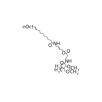 CCCCCCCCC=CCCCCCCCC(=O)NCC=CCOC(=O)CCNC(=O)C1OC(C)(C)OCC1(C)C